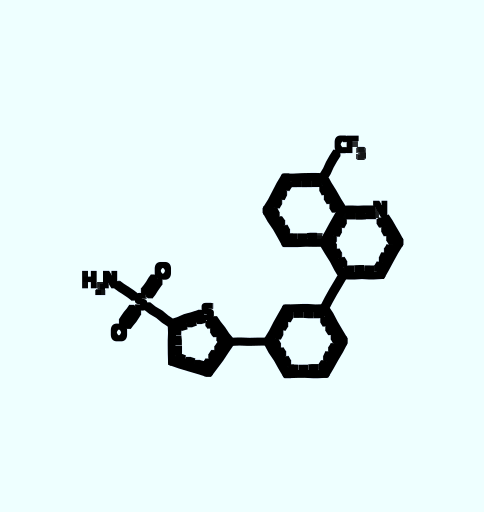 NS(=O)(=O)c1ccc(-c2cccc(-c3ccnc4c(C(F)(F)F)cccc34)c2)s1